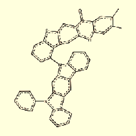 Cc1cc2oc3cc4c(cc3c(=O)c2cc1C)sc1cccc(-n2c3ccccc3c3cc5c6ccccc6n(-c6ccccc6)c5cc32)c14